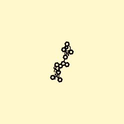 C[Si]1(C)c2cc(N(c3ccccc3)c3ccccc3)ccc2-c2cc3c4ccccc4c(-c4ccc(N(c5ccccc5)c5cccc6c5oc5ccccc56)cc4)cc3c3cccc1c23